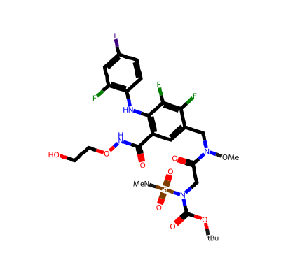 CNS(=O)(=O)N(CC(=O)N(Cc1cc(C(=O)NOCCO)c(Nc2ccc(I)cc2F)c(F)c1F)OC)C(=O)OC(C)(C)C